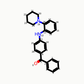 O=C(c1ccccc1)c1ccc(Nc2ccccc2N2CCCCC2)cc1